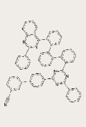 N#Cc1cccc(-c2ccc(-c3nc(-c4ccccc4)nc(-c4ccccc4-c4ccccc4-c4ccccc4-c4nc(-c5ccccc5)nc5ccccc45)n3)cc2)c1